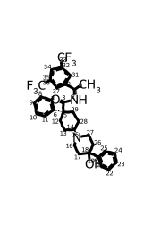 CC(NC(=O)[C@]1(c2ccccc2)CC[C@@H](N2CCC(O)(c3ccccc3)CC2)CC1)c1cc(C(F)(F)F)cc(C(F)(F)F)c1